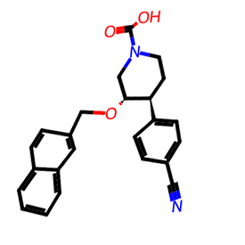 N#Cc1ccc([C@@H]2CCN(C(=O)O)C[C@H]2OCc2ccc3ccccc3c2)cc1